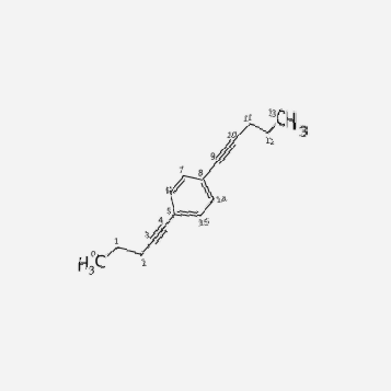 CCCC#Cc1[c]cc(C#CCCC)cc1